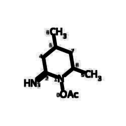 CC(=O)ON1C(=N)CC(C)CC1C